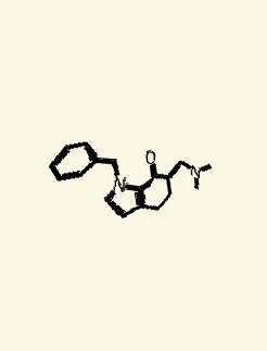 CN(C)C=C1CCc2ccn(Cc3ccccc3)c2C1=O